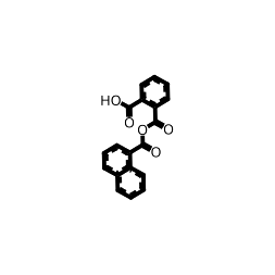 O=C(O)c1ccccc1C(=O)OC(=O)c1cccc2ccccc12